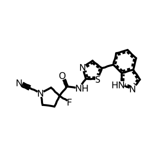 N#CN1CCC(F)(C(=O)Nc2ncc(-c3cccc4cn[nH]c34)s2)C1